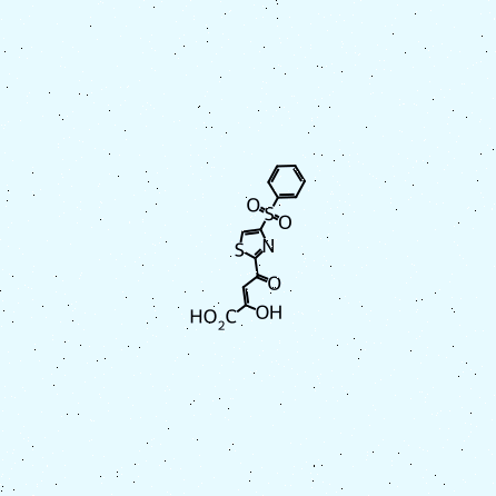 O=C(O)/C(O)=C/C(=O)c1nc(S(=O)(=O)c2ccccc2)cs1